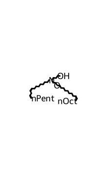 CCCCC/C=C\C/C=C\CCCCCCCCN(CCCO)CCOCCCCCCCC/C=C\CCCCCCCC